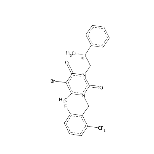 Cc1c(Br)c(=O)n(C[C@H](C)c2ccccc2)c(=O)n1Cc1c(F)cccc1C(F)(F)F